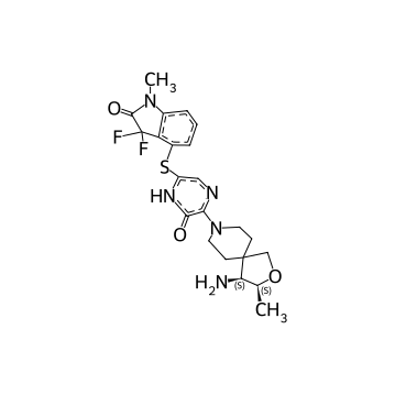 C[C@@H]1OCC2(CCN(c3ncc(Sc4cccc5c4C(F)(F)C(=O)N5C)[nH]c3=O)CC2)[C@@H]1N